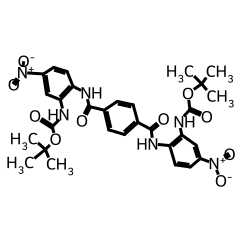 CC(C)(C)OC(=O)Nc1cc([N+](=O)[O-])ccc1NC(=O)c1ccc(C(=O)Nc2ccc([N+](=O)[O-])cc2NC(=O)OC(C)(C)C)cc1